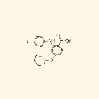 O=C(O)c1ccc(OC2CCCCC2)cc1Nc1ccc(F)cc1